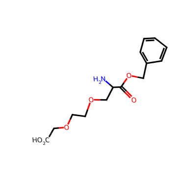 NC(COCCOCC(=O)O)C(=O)OCc1ccccc1